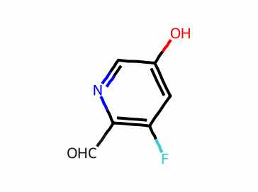 O=Cc1ncc(O)cc1F